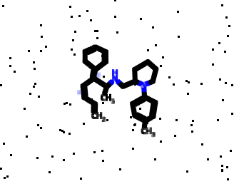 C=C/C=C\C(=C1\C=CC=CC1)C(C)NCC1CCCCN1c1ccc(C)cc1